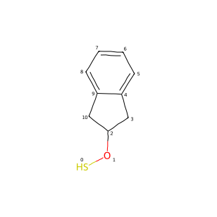 SOC1Cc2ccccc2C1